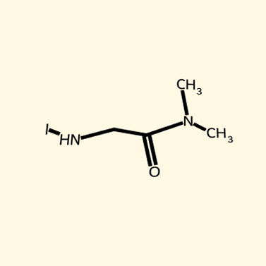 CN(C)C(=O)CNI